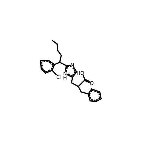 CCCCC(c1ncc(CC(Cc2ccccc2)C(=O)O)[nH]1)c1ccccc1Cl